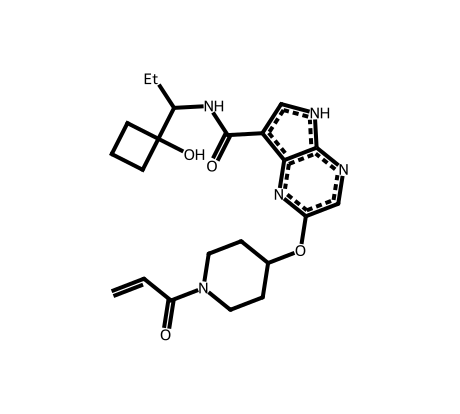 C=CC(=O)N1CCC(Oc2cnc3[nH]cc(C(=O)NC(CC)C4(O)CCC4)c3n2)CC1